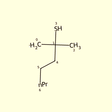 [CH2]C(C)(S)CCCCC